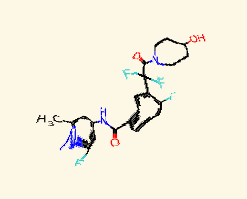 Cc1cc(NC(=O)c2ccc(F)c(C(F)(F)C(=O)N3CCC(O)CC3)c2)cc(F)n1